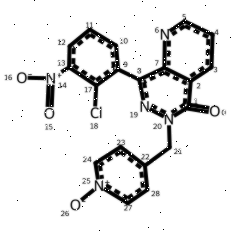 O=c1c2cccnc2c(-c2cccc([N+](=O)[O-])c2Cl)nn1Cc1cc[n+]([O-])cc1